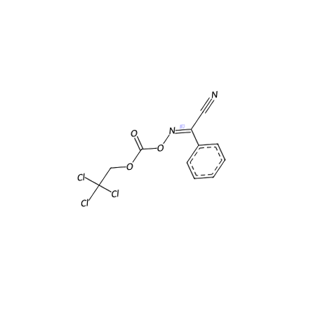 N#C/C(=N/OC(=O)OCC(Cl)(Cl)Cl)c1ccccc1